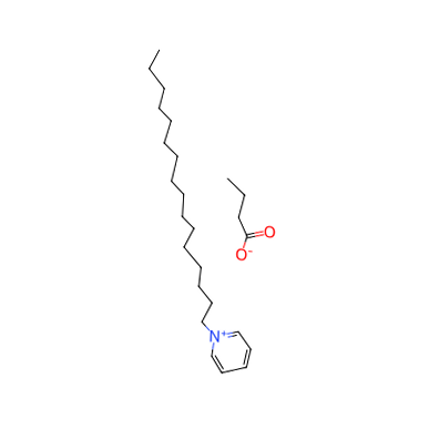 CCCC(=O)[O-].CCCCCCCCCCCCCCCC[n+]1ccccc1